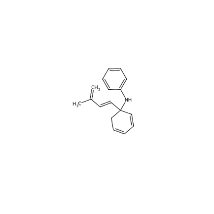 C=C(C)C=CC1(Nc2ccccc2)C=CC=CC1